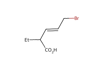 CCC(C=CCBr)C(=O)O